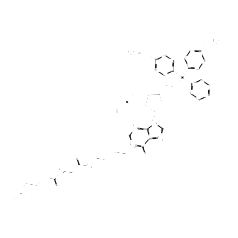 COc1ccc(C(OC[C@H]2O[C@@H](n3cnc4c(=O)n(CCOCNC(=O)CNC(=O)OCC[Si](C)(C)C)cnc43)[C@H](OC(C)(C)C(C)(C)C)[C@@H]2O)(c2ccccc2)c2ccc(OC)cc2)cc1